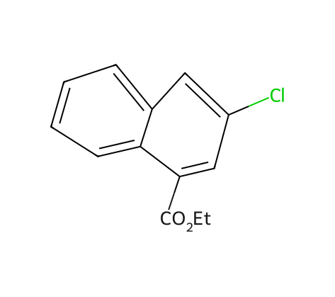 CCOC(=O)c1cc(Cl)cc2ccccc12